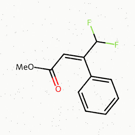 COC(=O)/C=C(\c1ccccc1)C(F)F